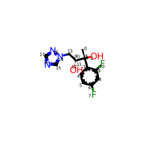 C[C@@](O)(c1ccc(F)cc1F)[C@H](O)Cn1cncn1